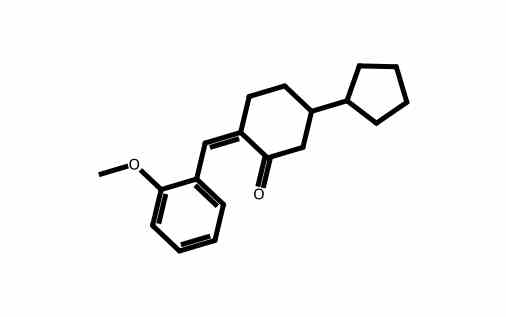 COc1ccccc1/C=C1/CCC(C2CCCC2)CC1=O